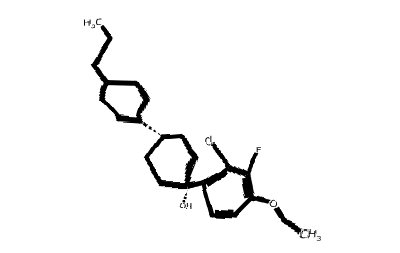 CCCC1CCC([C@H]2CC[C@](O)(c3ccc(OCC)c(F)c3Cl)CC2)CC1